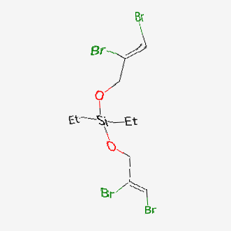 CC[Si](CC)(OCC(Br)=CBr)OCC(Br)=CBr